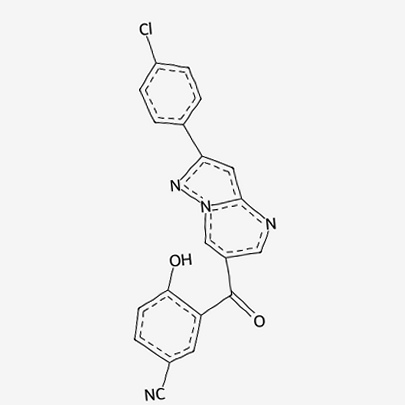 N#Cc1ccc(O)c(C(=O)c2cnc3cc(-c4ccc(Cl)cc4)nn3c2)c1